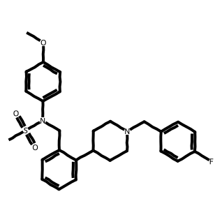 COc1ccc(N(Cc2ccccc2C2CCN(Cc3ccc(F)cc3)CC2)S(C)(=O)=O)cc1